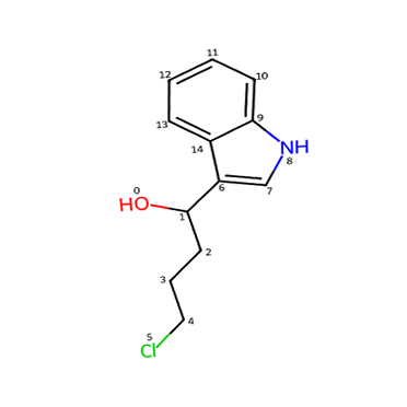 OC(CCCCl)c1c[nH]c2ccccc12